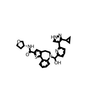 O=C(N[C@@H]1CCOC1)c1cc2c(s1)-c1ccccc1N(C(O)c1cccc(-c3c[nH]nc3C3CC3)n1)CC2